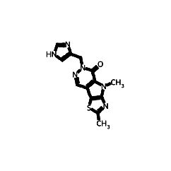 Cc1nc2c(s1)c1cnn(Cc3c[nH]cn3)c(=O)c1n2C